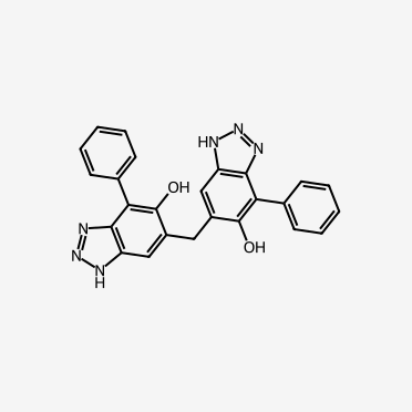 Oc1c(Cc2cc3[nH]nnc3c(-c3ccccc3)c2O)cc2[nH]nnc2c1-c1ccccc1